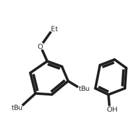 CCOc1cc(C(C)(C)C)cc(C(C)(C)C)c1.Oc1ccccc1